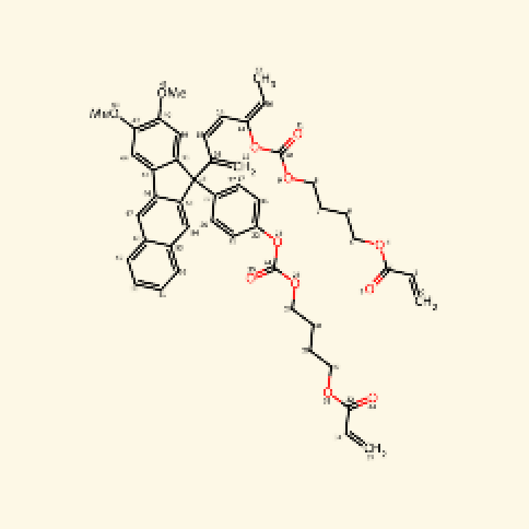 C=CC(=O)OCCCCOC(=O)OC(/C=C\C(=C)C1(c2ccc(OC(=O)OCCCCOC(=O)C=C)cc2)c2cc(OC)c(OC)cc2-c2cc3ccccc3cc21)=C/C